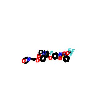 COc1c(OCCCN2CCOCC2)ccc2c(Oc3ccc(NS(=O)(=O)c4ccccc4OC(F)(F)F)cc3F)ccnc12